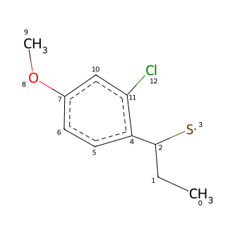 CCC([S])c1ccc(OC)cc1Cl